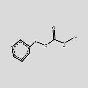 CC(C)NC(=O)OSc1cccnc1